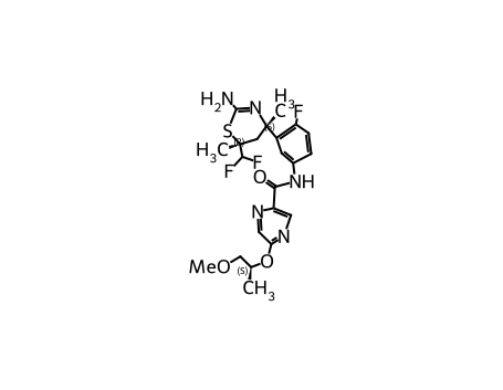 COC[C@H](C)Oc1cnc(C(=O)Nc2ccc(F)c([C@]3(C)C[C@](C)(C(F)F)SC(N)=N3)c2)cn1